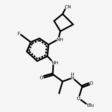 CC(NC(=O)OC(C)(C)C)C(=O)Nc1ccc(F)cc1NC1CC(C#N)C1